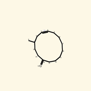 CC1C/C=C\CCCCCCCC(=O)CC1